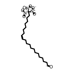 O=[C]CCCCCCCCCCC/C=C\CCCCCCCC([N+](=O)[O-])([N+](=O)[O-])[N+](=O)[O-]